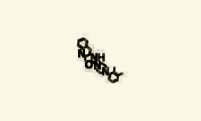 Cc1cccc(N2CCN(C(=O)Nc3cc4ccccc4nc3C)CC2)c1C